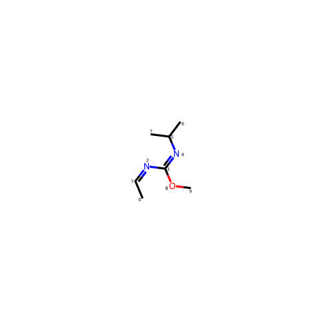 C/C=N\C(=N/C(C)C)OC